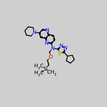 C[Si](C)(C)CCOCN(c1ccc2ncc(N3CCCCC3)cc2n1)c1nnc(C2CCCC2)s1